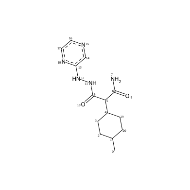 CC1CCC(C(C(N)=O)C(=O)NNc2cnccn2)CC1